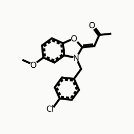 COc1ccc2c(c1)N(Cc1ccc(Cl)cc1)/C(=C/C(C)=O)O2